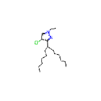 CCCCCCC(CCCCCC)c1nn(CC)cc1Cl